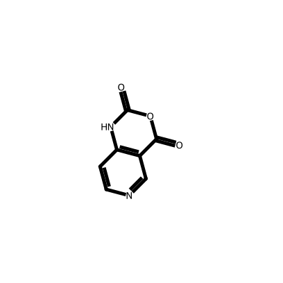 O=c1[nH]c2ccncc2c(=O)o1